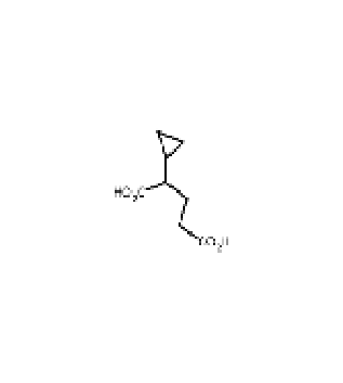 O=C(O)CCC(C(=O)O)C1CC1